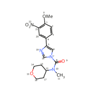 COc1ccc(-c2cn(C(=O)N(C)C3CCOCC3)cn2)cc1[N+](=O)[O-]